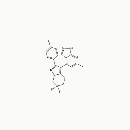 Cc1cc(-c2c(-c3ccc(F)cc3)nn3c2CCC(F)(F)C3)c2cn[nH]c2n1